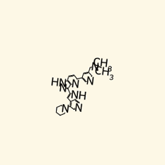 CN(C)Cc1cncc(-c2ccc3[nH]nc(-c4cc5c(N6CCCCC6)cncc5[nH]4)c3n2)c1